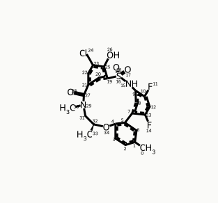 Cc1ccc2c(c1)-c1cc(c(F)cc1F)NS(=O)(=O)c1cc(cc(Cl)c1O)C(=O)N(C)C[C@H](C)O2